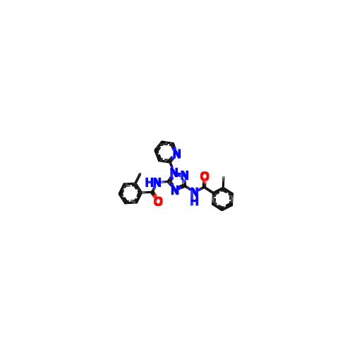 Cc1ccccc1C(=O)Nc1nc(NC(=O)c2ccccc2C)n(-c2ccccn2)n1